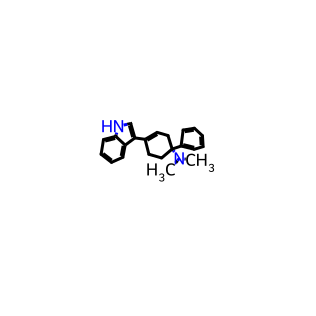 CN(C)C1(c2ccccc2)CC=C(c2c[nH]c3ccccc23)CC1